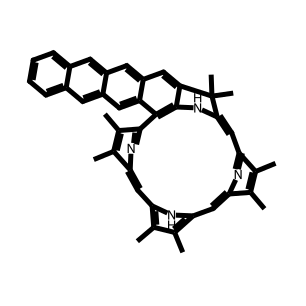 CC1=C(C)c2cc3[nH]c(cc4nc(c5c6[nH]c(cc1n2)C(C)(C)c6cc1cc2cc6ccccc6cc2cc15)C(C)=C4C)c(C)c3C